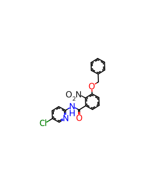 O=C(Nc1ccc(Cl)cn1)c1cccc(OCc2ccccc2)c1[N+](=O)[O-]